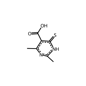 Cc1nc(C)c(C(=O)O)c(=S)[nH]1